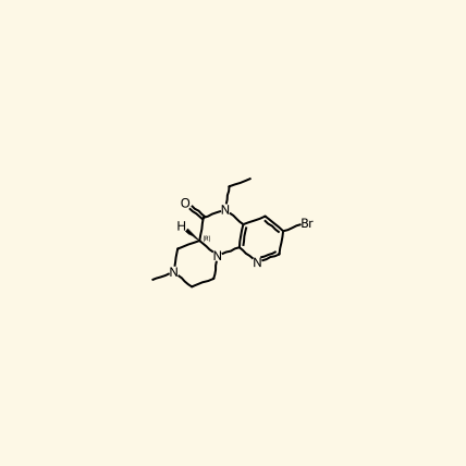 CCN1C(=O)[C@H]2CN(C)CCN2c2ncc(Br)cc21